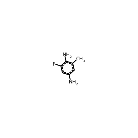 Cc1cc(N)cc(F)c1N